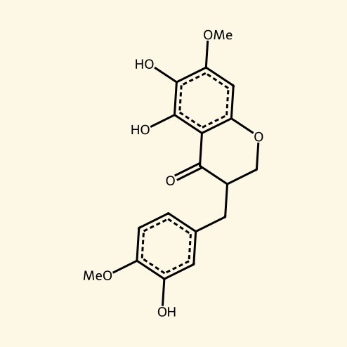 COc1ccc(CC2COc3cc(OC)c(O)c(O)c3C2=O)cc1O